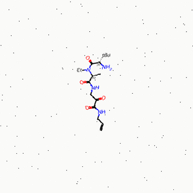 C=CCNC(=O)C(=O)CNC(=O)[C@H](C)N(CC)C(=O)[C@@H](N)C(C)(C)C